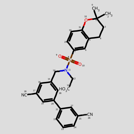 CC1(C)CCc2cc(S(=O)(=O)N(CC(=O)O)Cc3cc(C#N)cc(-c4cccc(C#N)c4)c3)ccc2O1